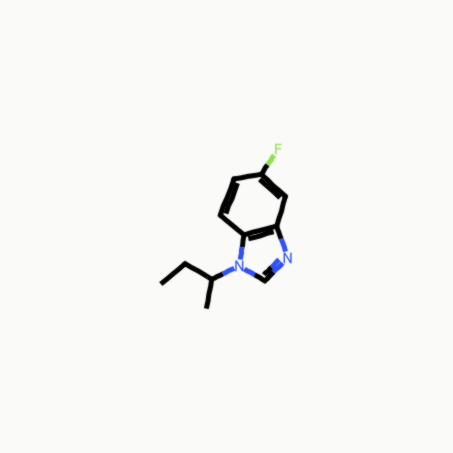 CCC(C)n1cnc2cc(F)ccc21